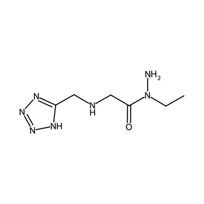 CCN(N)C(=O)CNCc1nnn[nH]1